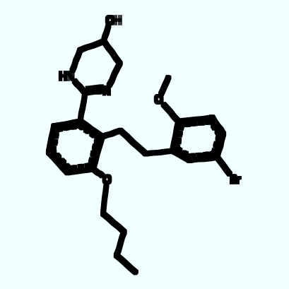 CCCCOc1cccc(C2=NCC(O)CN2)c1CCc1cc(Br)ccc1OC